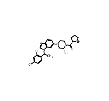 CC[C@@H]1CN(c2ccc3ncn(C(C)c4ccc(Cl)cc4Cl)c3c2)CCN1C(=O)[C@H]1CCCN1